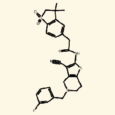 CC1(C)CS(=O)(=O)c2ccc(CC(=O)Nc3sc4c(c3C#N)CN(Cc3cccc(F)c3)CC4)cc21